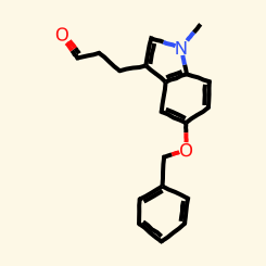 Cn1cc(CCC=O)c2cc(OCc3ccccc3)ccc21